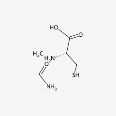 C.NC=O.N[C@@H](CS)C(=O)O